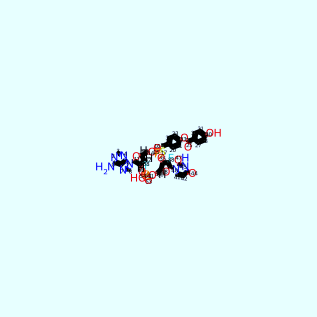 Nc1ncnc2c1ncn2[C@@H]1O[C@@H]2CO[P@](=O)(SCc3ccc(OC(=O)c4ccc(O)cc4)cc3)OC3[C@@H](F)[C@H](n4ccc(=O)[nH]c4=O)O[C@@H]3COP(=O)(O)O[C@@H]1[C@@H]2F